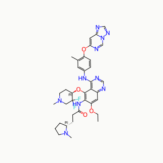 CCOc1cc2ncnc(Nc3ccc(Oc4cc5ncnn5cn4)c(C)c3)c2c(O[C@@H]2CCN(C)CC2(F)F)c1NC(=O)CC[C@H]1CCCN1C